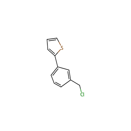 ClCc1cccc(-c2cccs2)c1